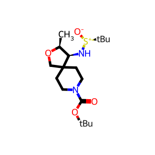 C[C@@H]1OCC2(CCN(C(=O)OC(C)(C)C)CC2)[C@@H]1N[S@@+]([O-])C(C)(C)C